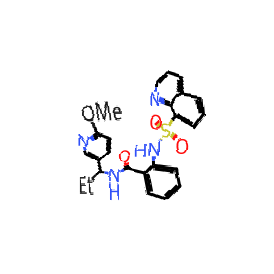 CCC(NC(=O)c1ccccc1NS(=O)(=O)c1cccc2cccnc12)c1ccc(OC)nc1